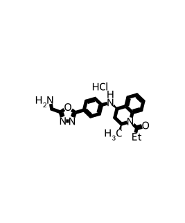 CCC(=O)N1c2ccccc2[C@H](Nc2ccc(-c3nnc(CN)o3)cc2)C[C@@H]1C.Cl